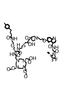 C#C[C@H]1CC(F)(F)CN1C(=O)CNC(=O)c1ccnc2ccc(OCCCN3CCN(C(=O)[C@H](O)CSCCNC(=O)[C@H](CCOCCNC(=O)CCCc4ccc(C)cc4)NC(=O)CN4CCN(COC=O)CCN(COC=O)CCN(CC(=O)O)CC4)CC3)cc12